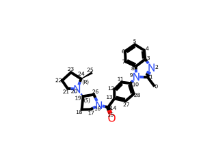 Cc1nc2ccccc2n1-c1ccc(C(=O)N2CC[C@H](N3CCC[C@H]3C)C2)cc1